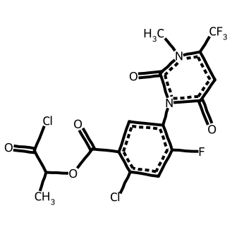 CC(OC(=O)c1cc(-n2c(=O)cc(C(F)(F)F)n(C)c2=O)c(F)cc1Cl)C(=O)Cl